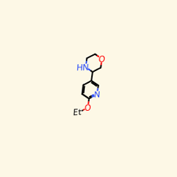 CCOc1ccc(C2COCCN2)cn1